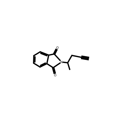 C#CCC(C)N1C(=O)c2ccccc2C1=O